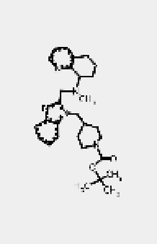 CN(Cc1nc2ccccc2n1CC1CCN(C(=O)OC(C)(C)C)CC1)C1CCCc2cccnc21